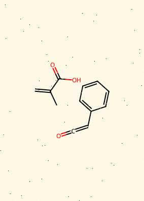 C=C(C)C(=O)O.O=C=Cc1ccccc1